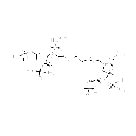 CNS(=O)(=O)N(CCOCCOCCN([C@@H](CC(=O)OC(C)(C)C)C(=O)OC(C)(C)C)S(=O)(=O)NC)[C@@H](CC(=O)OC(C)(C)C)C(=O)OC(C)(C)C